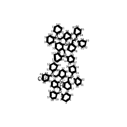 [Cu+2].c1ccc(P(Cc2ccccc2[SiH-](c2ccccc2CP(c2ccccc2)c2ccccc2)c2ccccc2CP(c2ccccc2)c2ccccc2)c2ccccc2)cc1.c1ccc(P(Cc2ccccc2[SiH-](c2ccccc2CP(c2ccccc2)c2ccccc2)c2ccccc2CP(c2ccccc2)c2ccccc2)c2ccccc2)cc1